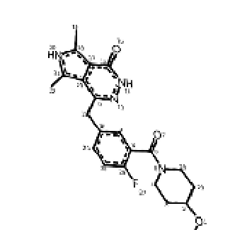 COC1CCN(C(=O)c2cc(Cc3n[nH]c(=O)c4c(C)[nH]c(C)c34)ccc2F)CC1